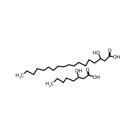 CCCCCC(O)CC(=O)O.CCCCCCCCCCCCCCCC(O)CC(=O)O